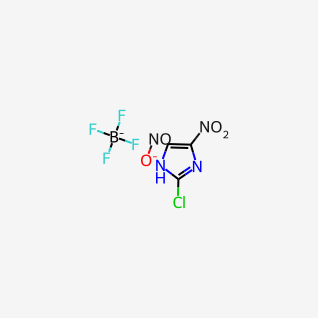 F[B-](F)(F)F.O=[N+]([O-])c1c[nH]c(Cl)n1.O=[NH+][O-]